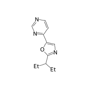 CCC(CC)c1ncc(-c2ccncn2)o1